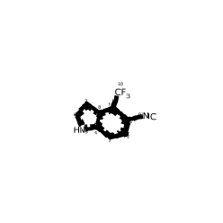 [C-]#[N+]c1ccc2[nH]ccc2c1C(F)(F)F